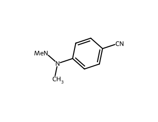 CNN(C)c1ccc(C#N)cc1